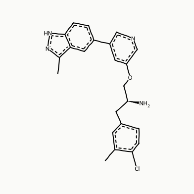 Cc1cc(C[C@H](N)COc2cncc(-c3ccc4[nH]nc(C)c4c3)c2)ccc1Cl